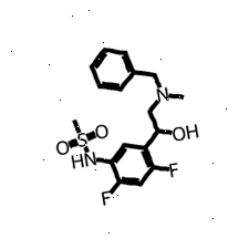 CN(Cc1ccccc1)CC(O)c1cc(NS(C)(=O)=O)c(F)cc1F